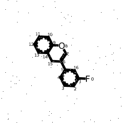 Fc1cccc(C2=COc3ccccc3C2)c1